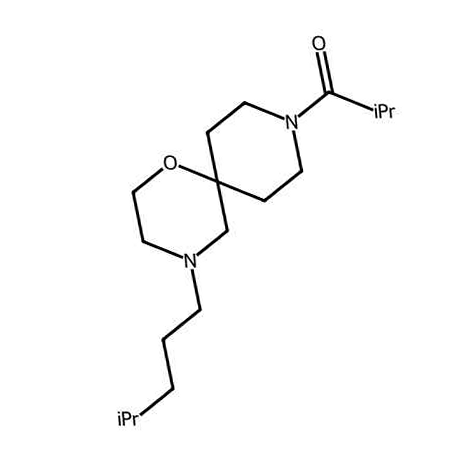 CC(C)CCCN1CCOC2(CCN(C(=O)C(C)C)CC2)C1